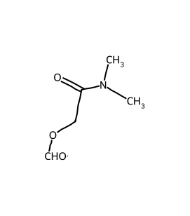 CN(C)C(=O)CO[C]=O